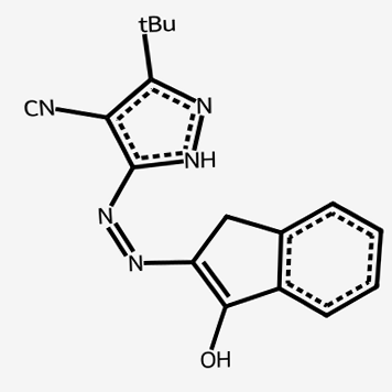 [C-]#[N+]c1c(C(C)(C)C)n[nH]c1/N=N\C1=C(O)c2ccccc2C1